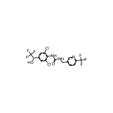 O=C(NCc1ccc(C(F)(F)F)nc1)Nc1c(Cl)cc([C@@H](O)C(F)(F)F)cc1Cl